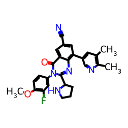 COc1ccc(-n2c(C3CCCN3)nc3c(-c4cnc(C)c(C)c4)cc(C#N)cc3c2=O)cc1F